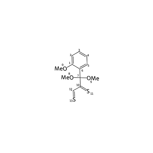 COc1ccccc1C(OC)(OC)C(=S)[C]=S